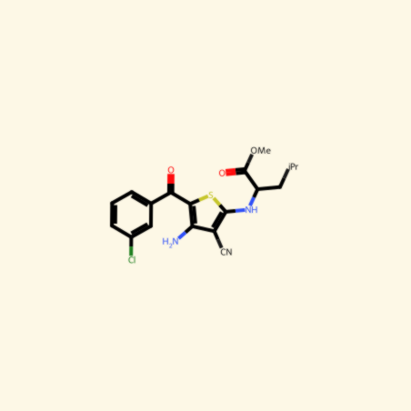 COC(=O)C(CC(C)C)Nc1sc(C(=O)c2cccc(Cl)c2)c(N)c1C#N